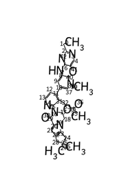 CCc1nccc(Nc2cc(-c3ccnc(N4CCn5c(cc6c5CC(C)(C)C6)C4=O)c3COC(C)=O)cn(C)c2=O)n1